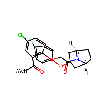 CNC(=O)c1cc(Cl)ccc1OCC(=O)N1[C@@H]2CC[C@H]1CC(Oc1ccc(F)cc1)C2